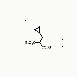 CCOC(=O)C(CC1CC1)C(=O)OCC